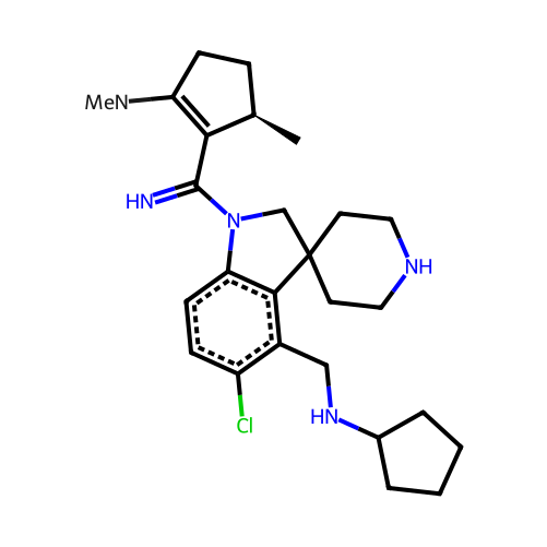 CNC1=C(C(=N)N2CC3(CCNCC3)c3c2ccc(Cl)c3CNC2CCCC2)[C@H](C)CC1